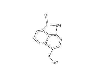 CCCSc1ccc2c3c(cccc13)C(=O)N2